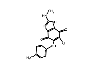 CNc1nc2c([nH]1)C(=O)C(Cl)=C(Nc1ccc(C)cc1)C2=O